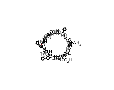 CC(C)C1NC(=O)[C@H](CCc2ccccc2)NC(=O)CSC[C@@H](C(=O)NCC(N)=O)NC(=O)[C@@H]2CCCN2C(=O)[C@H](CO)NC(=O)[C@H](CCC(=O)O)NC(=O)[C@H](C)N(C)C(=O)[C@H](Cc2ccc(-c3ccccc3)cc2)NC(=O)[C@H](C)N(C)C(=O)[C@H](Cc2ccc(-c3ccccc3)cc2)NC(=O)[C@H]([C@@H](C)O)NC(=O)[C@H]([C@@H](C)O)NC(=O)[C@H](CO)NC1=O